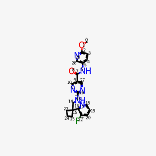 COc1ccc(NC(=O)c2cnc(NCC3(c4ncccc4F)CCC3)nc2)cn1